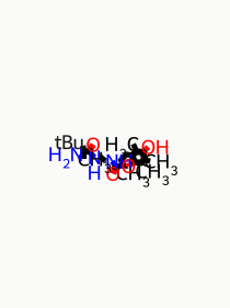 Cc1c(C)c2c(c(C)c1O)CCC(C)(C(=O)NCCNC(=O)C(C)(N)CC(C)(C)C)O2